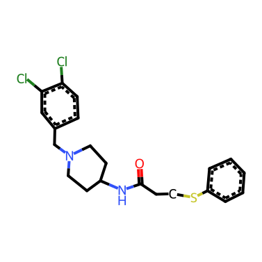 O=C(CCSc1ccccc1)NC1CCN(Cc2ccc(Cl)c(Cl)c2)CC1